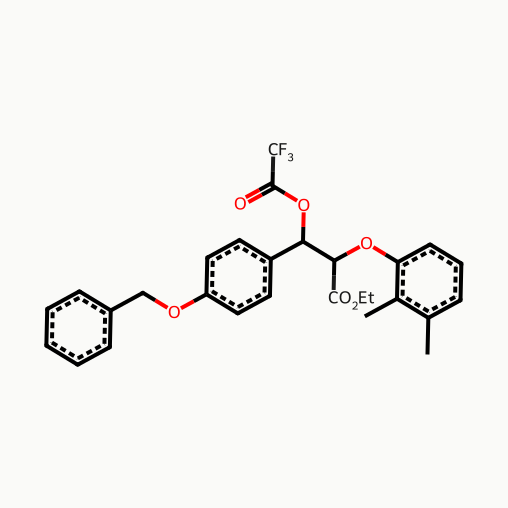 CCOC(=O)C(Oc1cccc(C)c1C)C(OC(=O)C(F)(F)F)c1ccc(OCc2ccccc2)cc1